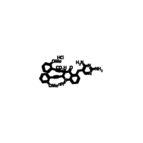 CCCN1c2cccc(Cc3cnc(N)nc3N)c2C(=O)C(C#Cc2ccccc2OC)(C(=O)O)C1C#Cc1ccccc1OC.Cl